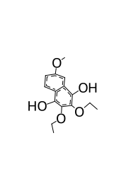 CCOc1c(OCC)c(O)c2cc(OC)ccc2c1O